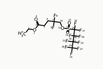 CCOC(=O)CCC(F)(F)COS(=O)(=O)C(F)(F)C(F)(F)C(F)(F)C(F)(F)F